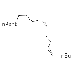 CCCC/C=C\CC/C=C\C/C=C\CCCCC